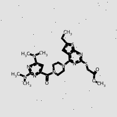 CCc1cc2c(N3CCN(C(=O)c4cc(N(C)C)nc(N(C)C)n4)CC3)nc(SCC(=O)OC)nc2s1